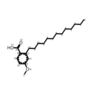 CCCCCCCCCCCCCc1cc(OC)ccc1C(=O)O